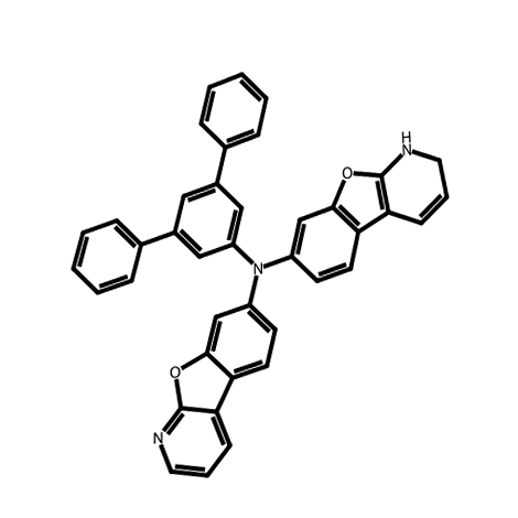 C1=Cc2c(oc3cc(N(c4cc(-c5ccccc5)cc(-c5ccccc5)c4)c4ccc5c(c4)oc4ncccc45)ccc23)NC1